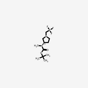 CN(C(=O)OC(C)(C)C)[C@@H]1CCN(C[B-](F)(F)F)C1